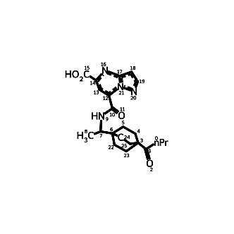 CCCC(=O)C12CCC(C(C)NC(=O)c3cc(C(=O)O)nc4ccnn34)(CC1)CC2